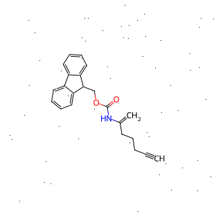 C#CCCCC(=C)NC(=O)OCC1c2ccccc2-c2ccccc21